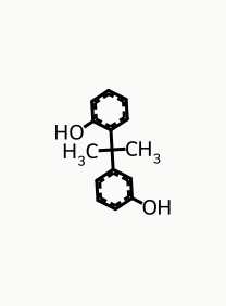 CC(C)(c1cccc(O)c1)c1ccccc1O